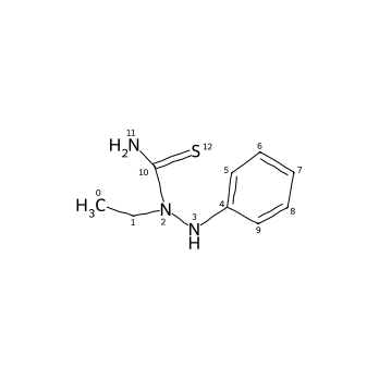 CCN(Nc1ccccc1)C(N)=S